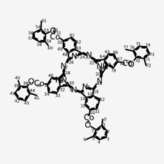 Cc1cccc(C)c1[O][Co][c]1ccc2c(c1)-c1nc-2nc2[nH]c(nc3nc(nc4[nH]c(n1)c1cc[c]([Co][O]c5c(C)cccc5C)cc41)-c1c[c]([Co][O]c4c(C)cccc4C)ccc1-3)c1cc[c]([Co][O]c3c(C)cccc3C)cc21